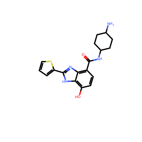 NC1CCC(NC(=O)c2ccc(O)c3[nH]c(-c4cccs4)nc23)CC1